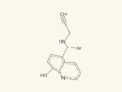 C#CCNC(Br)c1ccc(O)c2ncccc12